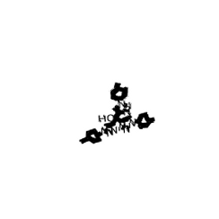 Cc1ccc(-n2cc(C(O)(c3cn(-c4ccc(C)cc4)nn3)c3cn(-c4ccc(C)cc4)nn3)nn2)cc1